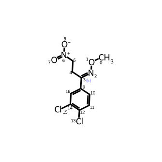 CO/N=C(\CC[N+](=O)[O-])c1ccc(Cl)c(Cl)c1